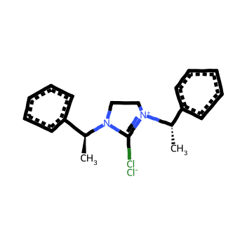 C[C@@H](c1ccccc1)N1CC[N+]([C@@H](C)c2ccccc2)=C1Cl.[Cl-]